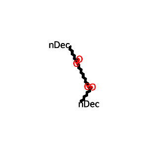 CCCCCCCCCCCCCCCCC(=O)OCCCCCCCCCOC(=O)CCCCCCCCCCCCCCCC